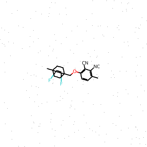 [C-]#[N+]c1c(C)ccc(OCC23CCC(C)(CC2)C(F)=C3F)c1C#N